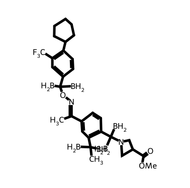 BC(B)(C)c1cc(/C(C)=N/OC(B)(B)c2ccc(C3CCCCC3)c(C(F)(F)F)c2)ccc1C(B)(B)N1CC(C(=O)OC)C1